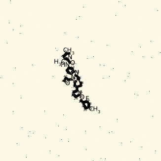 Cc1cnc(C(=O)Nc2ccc3c(c2)nc(CN2CCC(c4cccc(OCc5ccc(C)cc5F)n4)CC2)n3CC2CCO2)c(C)c1